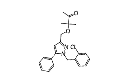 CC(=O)C(C)(C)OCc1cc(-c2ccccc2)n(Cc2ccccc2Cl)n1